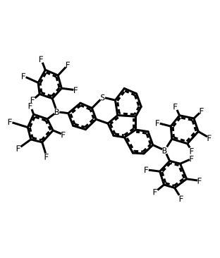 Fc1c(F)c(F)c(B(c2ccc3c(c2)Sc2cccc4c2c-3cc2ccc(B(c3c(F)c(F)c(F)c(F)c3F)c3c(F)c(F)c(F)c(F)c3F)cc24)c2c(F)c(F)c(F)c(F)c2F)c(F)c1F